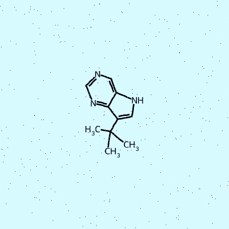 CC(C)(C)c1c[nH]c2cncnc12